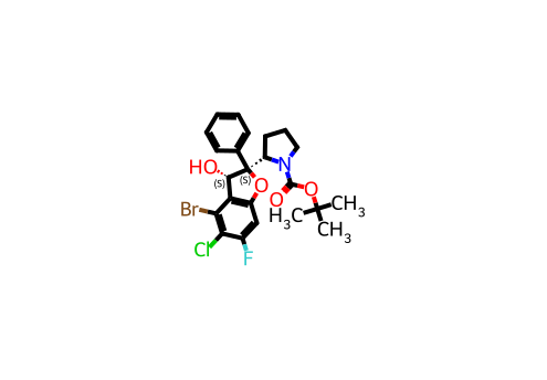 CC(C)(C)OC(=O)N1CCCC1[C@]1(c2ccccc2)Oc2cc(F)c(Cl)c(Br)c2[C@@H]1O